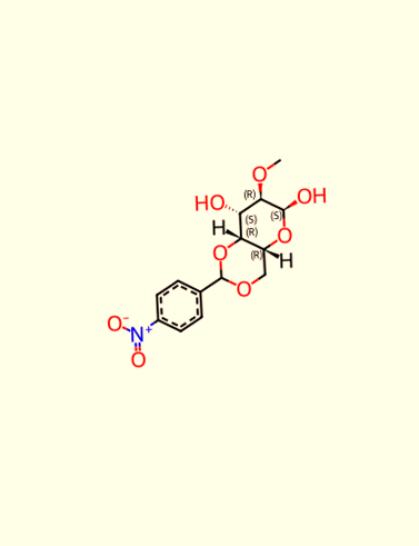 CO[C@@H]1[C@@H](O)[C@H]2OC(c3ccc([N+](=O)[O-])cc3)OC[C@H]2O[C@@H]1O